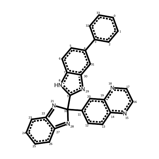 c1ccc(-c2ccc3[nH]c(C4(c5ccc6nccnc6c5)N=c5ccccc5=N4)nc3c2)cc1